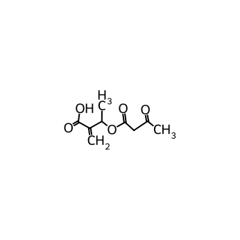 C=C(C(=O)O)C(C)OC(=O)CC(C)=O